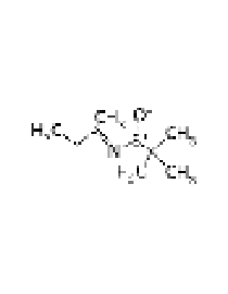 CC/C(C)=N/[S@+]([O-])C(C)(C)C